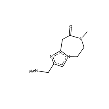 CNCc1cn2c(n1)CC(=O)N(C)CC2